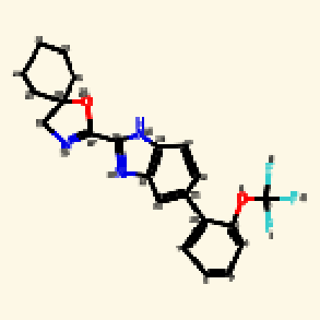 FC(F)(F)Oc1ccccc1-c1ccc2[nH]c(C3=NCC4(CCCCC4)O3)nc2c1